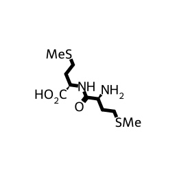 CSCC[C@H](NC(=O)[C@@H](N)CCSC)C(=O)O